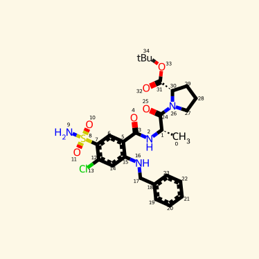 C[C@H](NC(=O)c1cc(S(N)(=O)=O)c(Cl)cc1NCc1ccccc1)C(=O)N1CCC[C@H]1C(=O)OC(C)(C)C